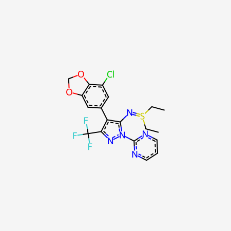 CCS(CC)=Nc1c(-c2cc(Cl)c3c(c2)OCO3)c(C(F)(F)F)nn1-c1ncccn1